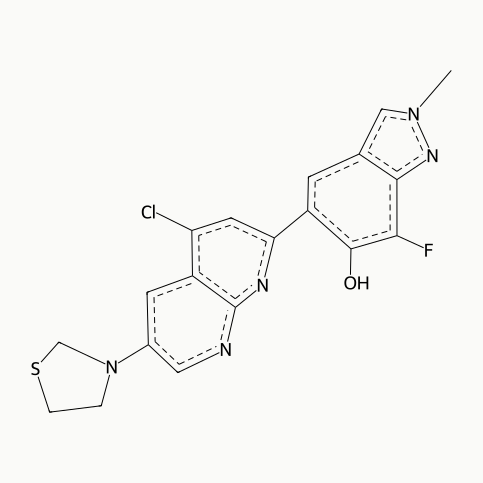 Cn1cc2cc(-c3cc(Cl)c4cc(N5CCSC5)cnc4n3)c(O)c(F)c2n1